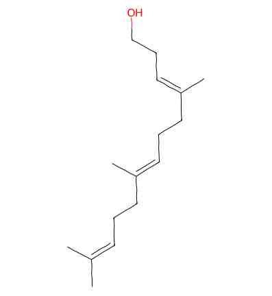 CC(C)=CCC/C(C)=C/CCC(C)=CCCO